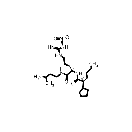 CCCC[C@H](C(=O)N[C@@H](CCCNC(=N)N[N+](=O)[O-])C(=O)NCCC(C)C)C1CCCC1